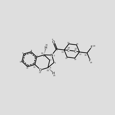 O=C(N1C[C@@H]2C[C@H]1c1ccccc1O2)C12CCC(C(F)F)(CC1)CC2